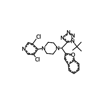 CC(C)(C)n1nnnc1C(c1cc2ccccc2o1)N1CCN(c2c(Cl)cncc2Cl)CC1